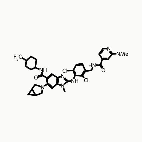 CNc1cc(C(=O)NCc2ccc(Cl)c(Nc3nc4cc(C(=O)NC5CCC(C(F)(F)F)CC5)c(N5CC6CC6C5)cc4n3C)c2Cl)ccn1